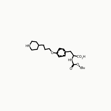 CC(C)(C)OC(=O)NC(Cc1ccc(OCCCC2CCNCC2)cc1)C(=O)O